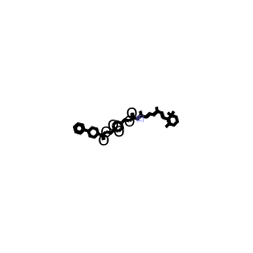 CC(C=CC1=C(C)CCCC1(C)C)=CC=C/C(C)=C/C(=O)OCC1COC(COC(=O)C2CCC(c3ccccc3)CC2)OC1